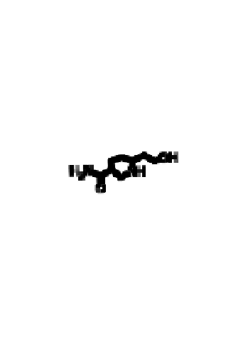 NC(=O)C1CCC(CCO)NC1